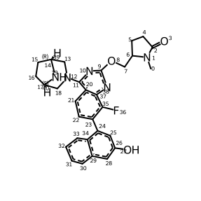 CN1C(=O)CCC1COc1nc(N2C[C@H]3CC[C@@H](C2)N3)c2ccc(-c3cc(O)cc4ccccc34)c(F)c2n1